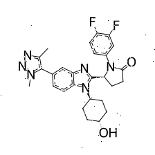 Cc1nnn(C)c1-c1ccc2c(c1)nc([C@@H]1CCC(=O)N1c1ccc(F)c(F)c1)n2[C@H]1CC[C@H](O)CC1